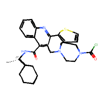 C[C@H](NC(=O)c1c(CN2CCN(C(=O)Cl)CC2)c(-c2cccs2)nc2ccccc12)C1CCCCC1